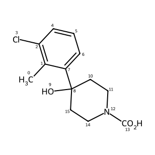 Cc1c(Cl)cccc1C1(O)CCN(C(=O)O)CC1